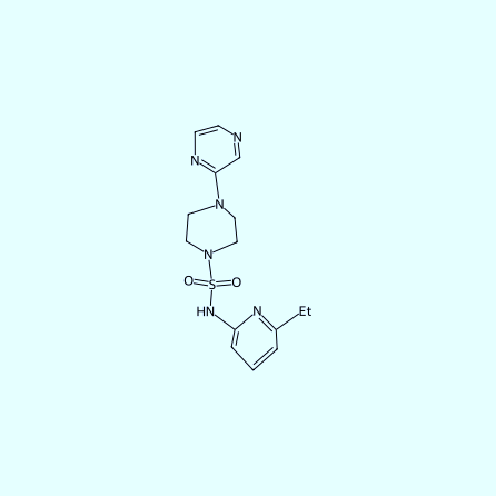 CCc1cccc(NS(=O)(=O)N2CCN(c3cnccn3)CC2)n1